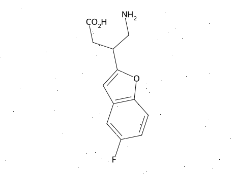 NCC(CC(=O)O)c1cc2cc(F)ccc2o1